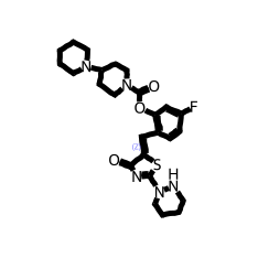 O=C1N=C(N2CCCCN2)S/C1=C\c1ccc(F)cc1OC(=O)N1CCC(N2CCCCC2)CC1